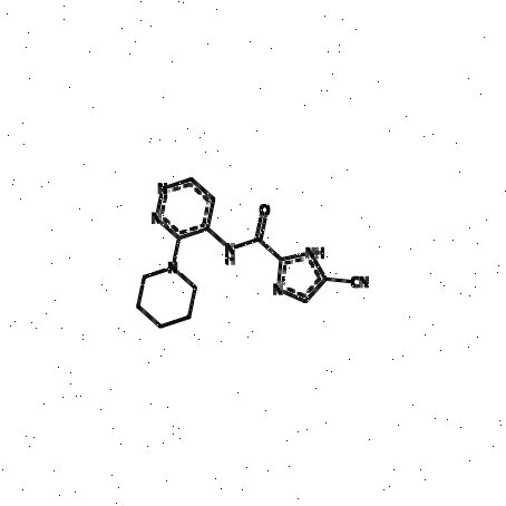 N#Cc1cnc(C(=O)Nc2ccnnc2N2CCCCC2)[nH]1